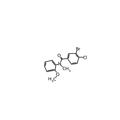 COc1ccccc1N(C)C(=O)c1ccc(Cl)c(Br)c1